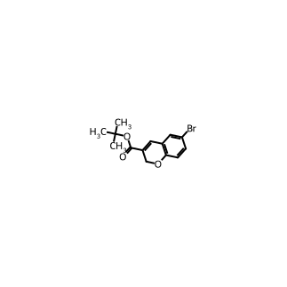 CC(C)(C)OC(=O)C1=Cc2cc(Br)ccc2OC1